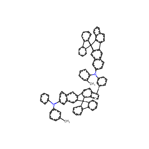 Cc1cccc(N(c2ccccc2)c2ccc3cc4c(cc3c2)C2(c3ccccc3-c3ccccc32)c2c-4ccc3c(-c4cccc(N(c5ccc6cc7c(cc6c5)C5(c6ccccc6-c6ccccc65)c5c-7ccc6ccccc56)c5ccccc5C)c4)cccc23)c1